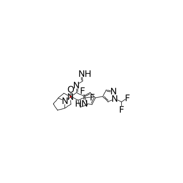 N=C/N=C(\c1cc(-c2cnn(C(F)F)c2)c[nH]1)N1CC2CCC(C1)N2C(=O)C1CCC1(F)F